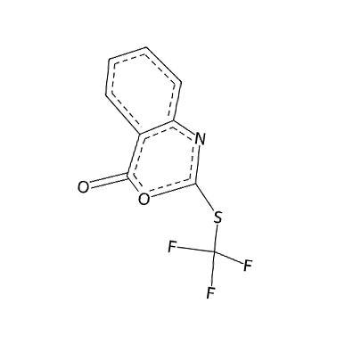 O=c1oc(SC(F)(F)F)nc2ccccc12